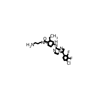 CCc1cc(Nc2nccn3c(-c4ccc(Cl)c(F)c4F)cnc23)ccc1C(=O)NCCCN